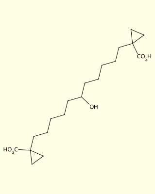 O=C(O)C1(CCCCCC(O)CCCCCC2(C(=O)O)CC2)CC1